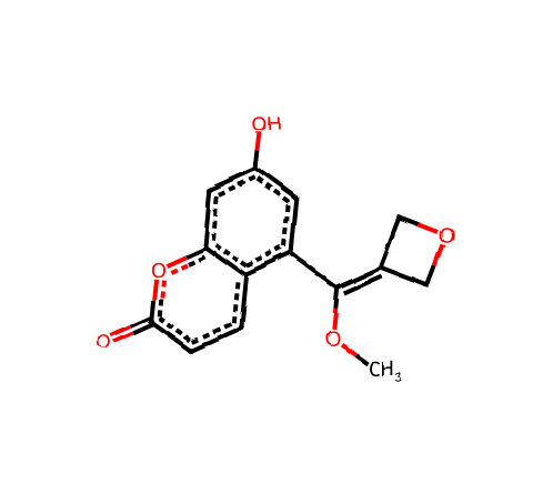 COC(=C1COC1)c1cc(O)cc2oc(=O)ccc12